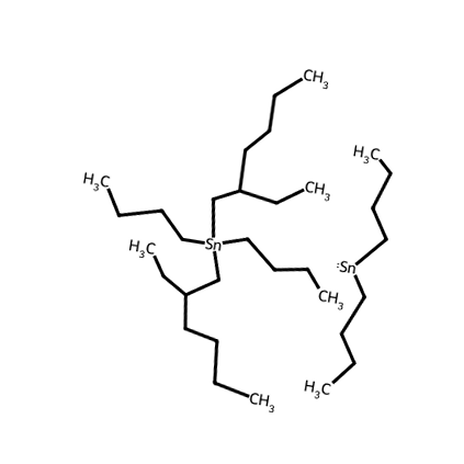 CCCCC(CC)[CH2][Sn]([CH2]CCC)([CH2]CCC)[CH2]C(CC)CCCC.CCC[CH2][Sn][CH2]CCC